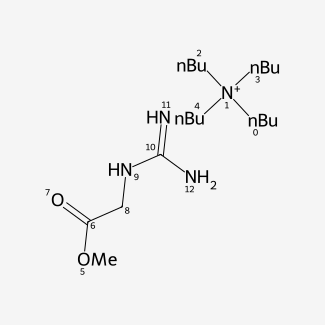 CCCC[N+](CCCC)(CCCC)CCCC.COC(=O)CNC(=N)N